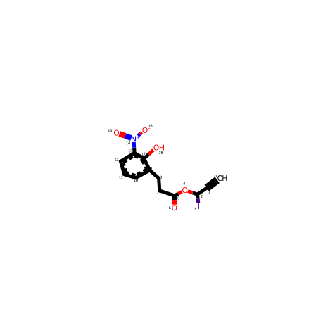 C#CC(I)OC(=O)CCc1cccc([N+](=O)[O-])c1O